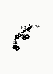 COC(=O)/C=C/C(=O)N(O)CCCCN(Cc1ccc(CNC(=S)Nc2cccc3ccccc23)cc1)C(=S)Nc1cccc2ccccc12